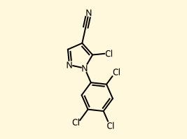 N#Cc1cnn(-c2cc(Cl)c(Cl)cc2Cl)c1Cl